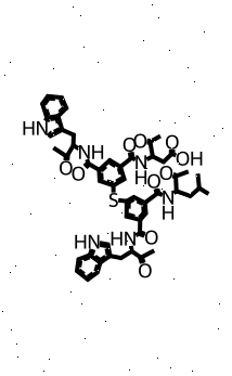 CC(=O)C(CC(=O)O)NC(=O)c1cc(Sc2cc(C(=O)NC(Cc3c[nH]c4ccccc34)C(C)=O)cc(C(=O)NC(CC(C)C)C(C)=O)c2)cc(C(=O)NC(Cc2c[nH]c3ccccc23)C(C)=O)c1